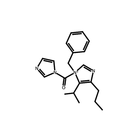 CCCC1=C(C(C)C)[N+](Cc2ccccc2)(C(=O)n2ccnc2)C=N1